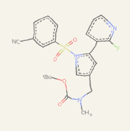 CN(Cc1cc(-c2cccnc2F)n(S(=O)(=O)c2cccc(C#N)c2)c1)C(=O)OC(C)(C)C